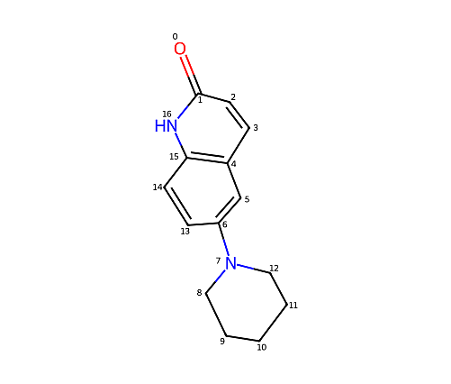 O=c1ccc2cc(N3CCCCC3)ccc2[nH]1